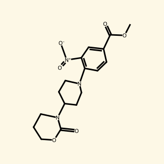 COC(=O)c1ccc(N2CCC(N3CCCOC3=O)CC2)c([N+](=O)[O-])c1